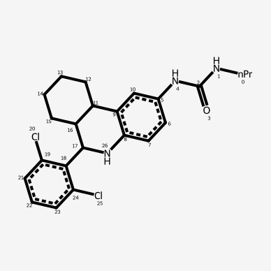 CCCNC(=O)Nc1ccc2c(c1)C1CCCCC1C(c1c(Cl)cccc1Cl)N2